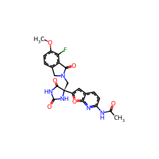 COc1ccc2c(c1F)C(=O)N(C[C@@]1(c3cc4ccc(NC(C)=O)nc4o3)NC(=O)NC1=O)C2